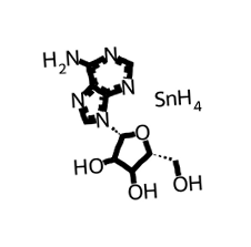 Nc1ncnc2c1ncn2[C@@H]1O[C@H](CO)C(O)C1O.[SnH4]